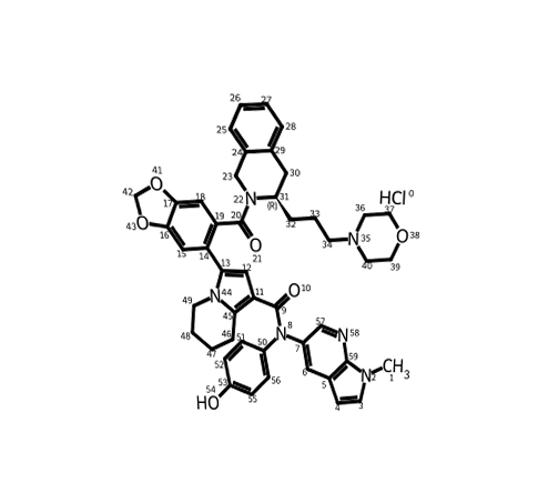 Cl.Cn1ccc2cc(N(C(=O)c3cc(-c4cc5c(cc4C(=O)N4Cc6ccccc6C[C@H]4CCCN4CCOCC4)OCO5)n4c3CCCC4)c3ccc(O)cc3)cnc21